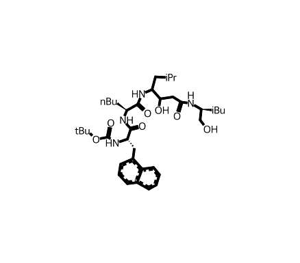 CCCC[C@H](NC(=O)[C@H](Cc1cccc2ccccc12)NC(=O)OC(C)(C)C)C(=O)NC(CC(C)C)C(O)CC(=O)N[C@H](CO)C(C)CC